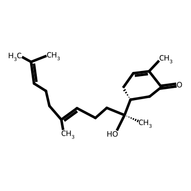 CC(C)=CCC/C(C)=C/CC[C@](C)(O)[C@@H]1CC=C(C)C(=O)C1